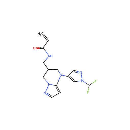 C=CC(=O)NCC1CN(c2cnn(C(F)F)c2)c2ccnn2C1